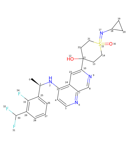 C[C@@H](Nc1ccnc2cnc(C3(O)CCS(=O)(=NC4CC4)CC3)cc12)c1cccc(C(F)F)c1F